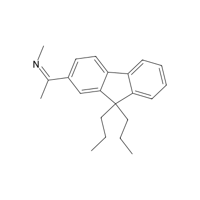 CCCC1(CCC)c2ccccc2-c2ccc(/C(C)=N\C)cc21